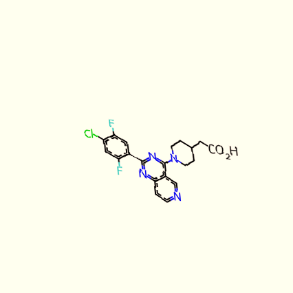 O=C(O)CC1CCN(c2nc(-c3cc(F)c(Cl)cc3F)nc3ccncc23)CC1